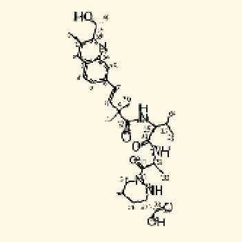 Cc1cc2ccc(/C=C/C(C)(C)C(=O)NC(C(=O)N[C@@H](C)C(=O)N3CCC[C@@H](C(=O)O)N3)C(C)C)cc2nc1[C@@H](C)O